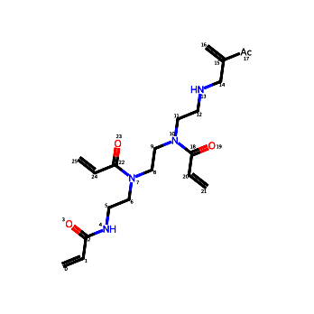 C=CC(=O)NCCN(CCN(CCNCC(=C)C(C)=O)C(=O)C=C)C(=O)C=C